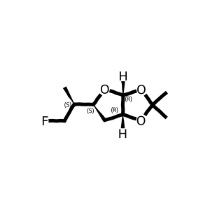 C[C@H](CF)[C@@H]1C[C@H]2OC(C)(C)O[C@H]2O1